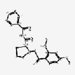 COc1ccc(C(=O)CN2CCC[C@@H]2C(=O)NC(=O)c2ccccc2)c(OC)c1